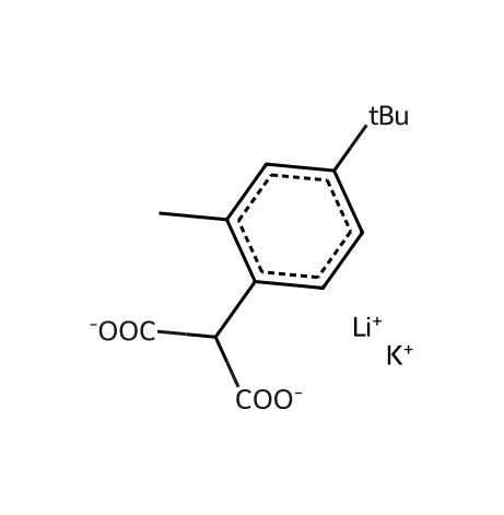 Cc1cc(C(C)(C)C)ccc1C(C(=O)[O-])C(=O)[O-].[K+].[Li+]